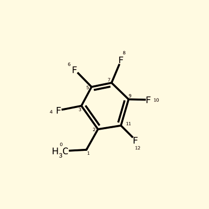 CCc1c(F)c(F)c(F)c(F)c1F